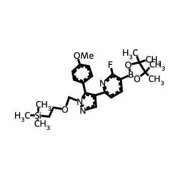 COc1ccc(-c2c(-c3ccc(B4OC(C)(C)C(C)(C)O4)c(F)n3)cnn2COCC[Si](C)(C)C)cc1